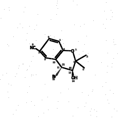 CC1(C)Oc2ccc(C#N)cc2[C@@H](Br)[C@@H]1O